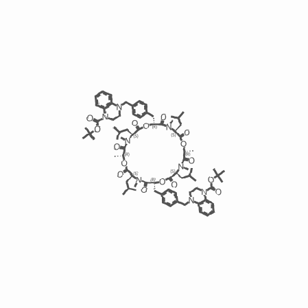 CC(C)C[C@H]1C(=O)O[C@H](Cc2ccc(CN3CCN(C(=O)OC(C)(C)C)c4ccccc43)cc2)C(=O)N(C)[C@@H](CC(C)C)C(=O)O[C@H](C)C(=O)N(C)[C@@H](CC(C)C)C(=O)O[C@H](Cc2ccc(CN3CCN(C(=O)OC(C)(C)C)c4ccccc43)cc2)C(=O)N(C)[C@@H](CC(C)C)C(=O)O[C@H](C)C(=O)N1C